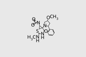 CNC(=S)NC(=O)C1(N2CC(OC)CC2c2ccccc2)CC1N=S(=O)=O